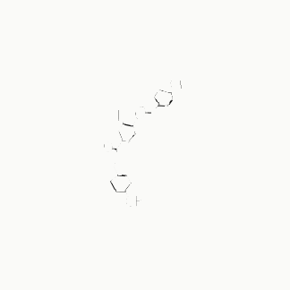 O=C(OCc1ccc(C(F)(F)F)cc1)c1ccc(OCc2ccc(C(F)(F)F)cc2)c(F)c1